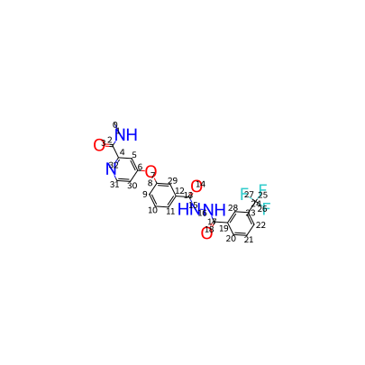 CNC(=O)c1cc(Oc2cccc(C(=O)NNC(=O)c3cccc(C(F)(F)F)c3)c2)ccn1